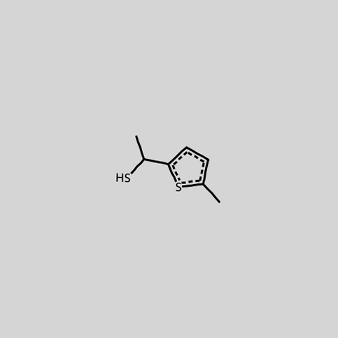 Cc1ccc(C(C)S)s1